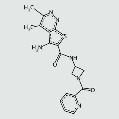 Cc1nnc2sc(C(=O)NC3CN(C(=O)c4ccccn4)C3)c(N)c2c1C